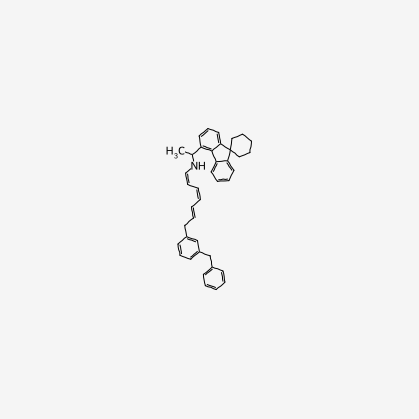 CC(N\C=C/C=C\C=C\Cc1cccc(Cc2ccccc2)c1)c1cccc2c1-c1ccccc1C21CCCCC1